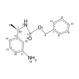 C[C@@H](NC(=O)OCc1ccccc1)c1cccc(N)c1